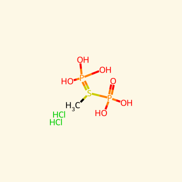 CS(P(=O)(O)O)=P(O)(O)O.Cl.Cl